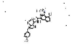 COc1ccc(Cn2cnc3c(NC(C)c4cc5cccc(Cl)c5c(/C=N\O)n4)ncnc32)cc1